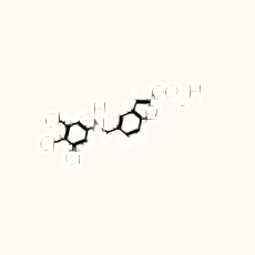 O=C(O)c1cc2cc(CNc3cc(Cl)c(Cl)c(Cl)c3)ccc2o1